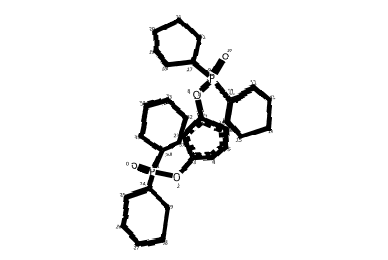 O=P(Oc1cccc(OP(=O)(C2CCCCC2)C2CCCCC2)c1)(C1CCCCC1)C1CCCCC1